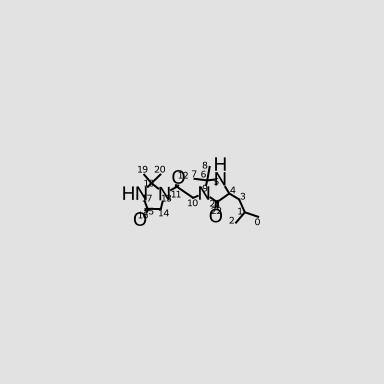 CC(C)CC1NC(C)(C)N(CC(=O)N2CC(=O)NC2(C)C)C1=O